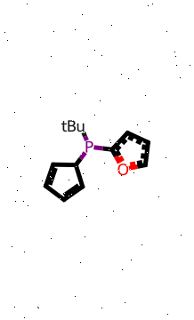 CC(C)(C)P(c1ccco1)C1C=CC=C1